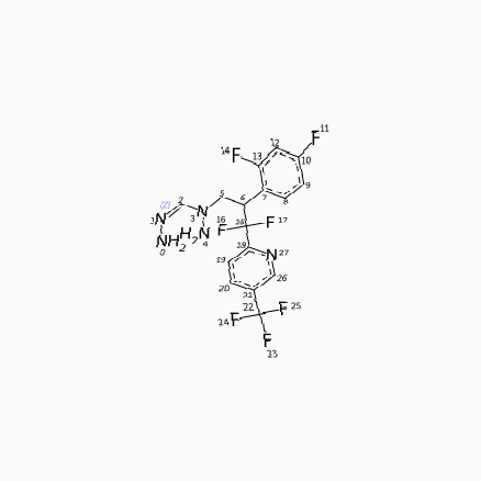 N/N=C\N(N)CC(c1ccc(F)cc1F)C(F)(F)c1ccc(C(F)(F)F)cn1